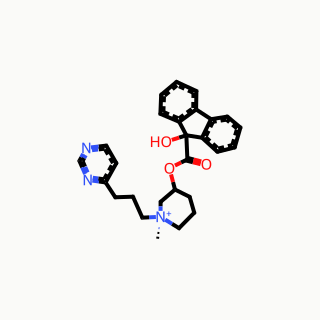 C[N@@+]1(CCCc2ccncn2)CCCC(OC(=O)C2(O)c3ccccc3-c3ccccc32)C1